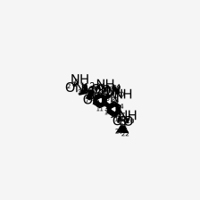 NC(=O)N1CC(S(=O)(=O)c2ccc(-c3ccc(NS(=O)(=O)C4CC4)cc3)c(-c3nn[nH]n3)c2S(N)(=O)=O)C1